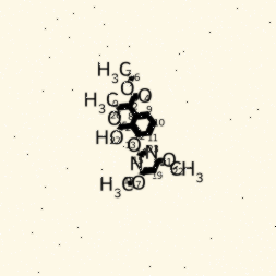 CC=C(C(=O)OCC)c1cccc(Oc2nc(OC)cc(OC)n2)c1C(=O)O